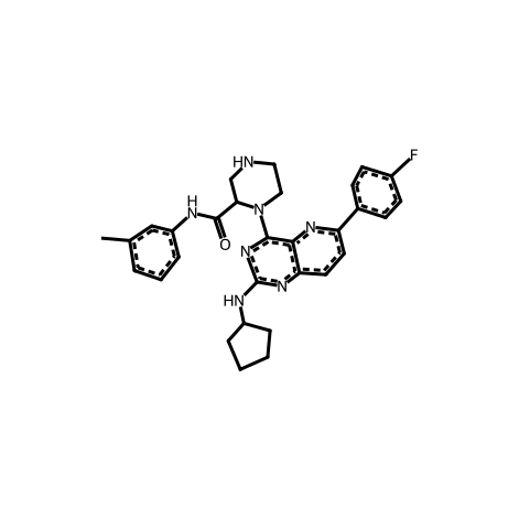 Cc1cccc(NC(=O)C2CNCCN2c2nc(NC3CCCC3)nc3ccc(-c4ccc(F)cc4)nc23)c1